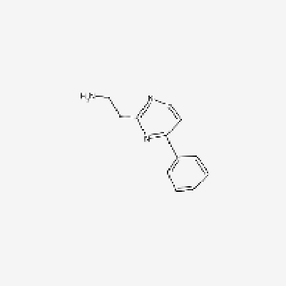 NCCc1nccc(-c2ccccc2)n1